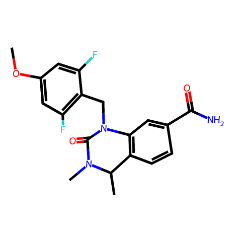 COc1cc(F)c(CN2C(=O)N(C)C(C)c3ccc(C(N)=O)cc32)c(F)c1